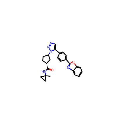 CC1(NC(=O)[C@H]2CC[C@@H](n3nncc3-c3ccc(-c4nc5ccccc5o4)cc3)C2)CC1